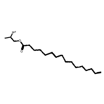 CCCCCCCCCCCCCCCC(=O)OCC(C)[NH]